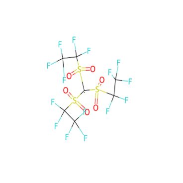 O=S(=O)([C](S(=O)(=O)C(F)(F)C(F)(F)F)S(=O)(=O)C(F)(F)C(F)(F)F)C(F)(F)C(F)(F)F